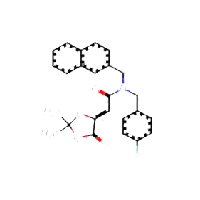 CC1(C)OC(=O)/C(=C/C(=O)N(Cc2ccc(F)cc2)Cc2ccc3ccccc3c2)O1